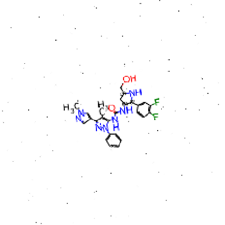 Cc1c(-c2cnn(C)c2)nn(-c2ccccc2)c1NC(=O)N[C@@H]1C[C@@H](CO)N[C@H]1c1ccc(F)c(F)c1